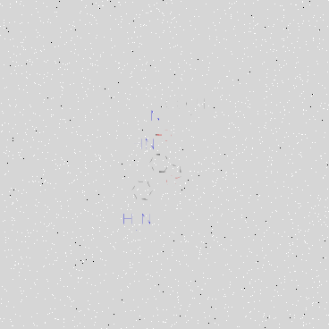 NCc1cccc(-c2cc(NC(=O)C3CCCN3CC(=O)O)cc3ccoc23)c1